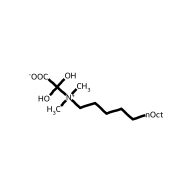 CCCCCCCCCCCCC[N+](C)(C)C(O)(O)C(=O)[O-]